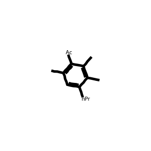 CCCc1cc(C)c(C(C)=O)c(C)c1C